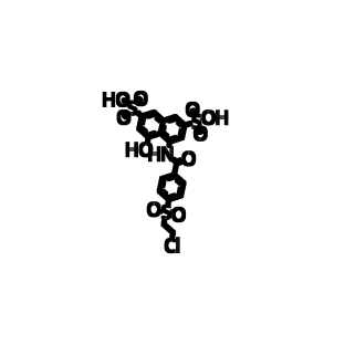 O=C(Nc1cc(S(=O)(=O)O)cc2cc(S(=O)(=O)O)cc(O)c12)c1ccc(S(=O)(=O)CCCl)cc1